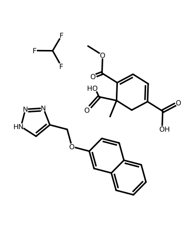 COC(=O)C1=CC=C(C(=O)O)CC1(C)C(=O)O.FC(F)F.c1ccc2cc(OCc3c[nH]nn3)ccc2c1